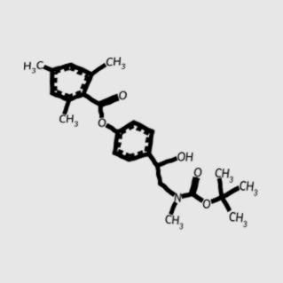 Cc1cc(C)c(C(=O)Oc2ccc(C(O)CN(C)C(=O)OC(C)(C)C)cc2)c(C)c1